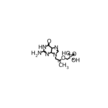 C[C@H](CN1C=NC2C(=O)NC(N)=NC21)OCP(=O)(O)O